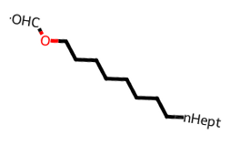 CCCCCCCCCCCCCCCO[C]=O